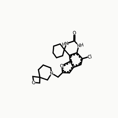 O=C1Nc2c(Cl)cc3cc(CN4CCCC5(COC5)C4)oc3c2C2(CCCCC2)N1